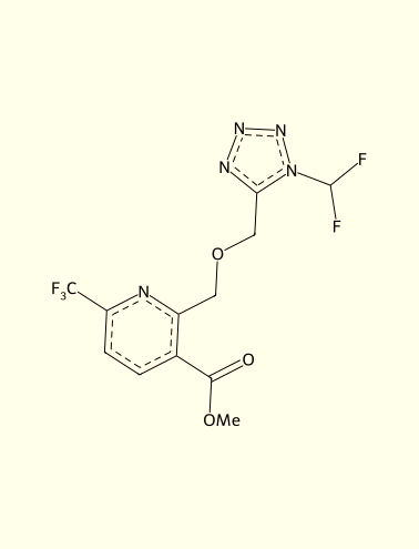 COC(=O)c1ccc(C(F)(F)F)nc1COCc1nnnn1C(F)F